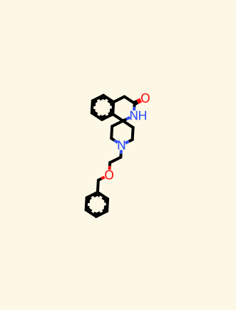 O=C1Cc2ccccc2C2(CCN(CCOCc3ccccc3)CC2)N1